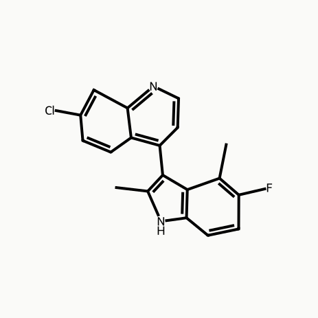 Cc1[nH]c2ccc(F)c(C)c2c1-c1ccnc2cc(Cl)ccc12